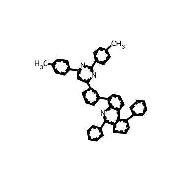 Cc1ccc(-c2cc(-c3cccc(-c4cccc5c4nc(-c4ccccc4)c4cccc(-c6ccccc6)c45)c3)nc(-c3ccc(C)cc3)n2)cc1